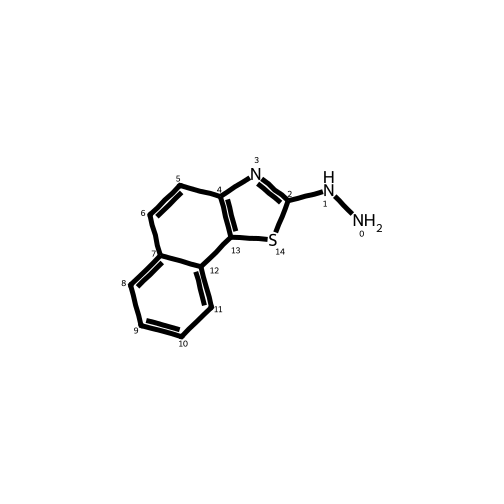 NNc1nc2ccc3ccccc3c2s1